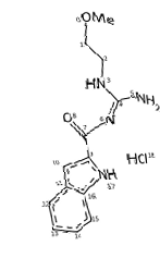 COCCNC(N)=NC(=O)c1cc2ccccc2[nH]1.Cl